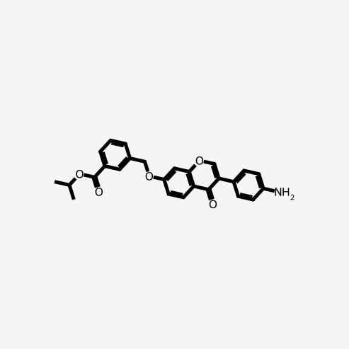 CC(C)OC(=O)c1cccc(COc2ccc3c(=O)c(-c4ccc(N)cc4)coc3c2)c1